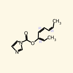 C\C=C/C=C\C(=C/C)OC(=O)n1ccnc1